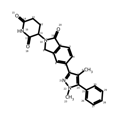 Cc1c(-c2ccc3c(c2)CN(C2CCC(=O)NC2=O)C3=O)nn(C)c1-c1ccccc1